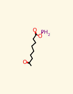 CC(=O)CCCCCCC(=O)OP